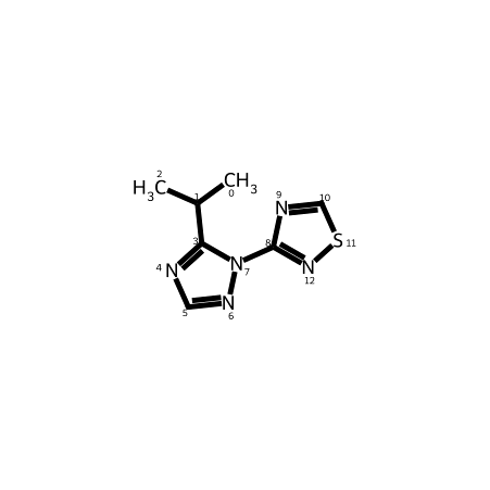 CC(C)c1ncnn1-c1ncsn1